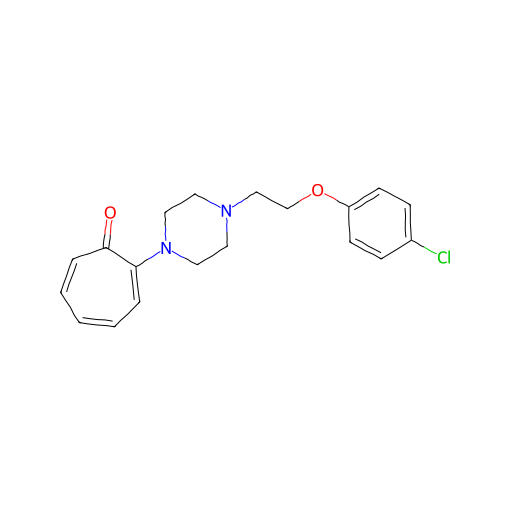 O=c1cccccc1N1CCN(CCOc2ccc(Cl)cc2)CC1